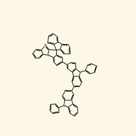 c1ccc(-n2c3ccccc3c3cc(-c4ccc5c(c4)c4cc(-c6ccc7c(c6)C6(c8ccccc8-c8ccccc86)c6nc8ccccc8n6-7)ccc4n5-c4ccccc4)ccc32)cc1